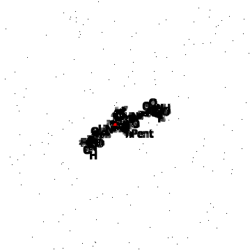 C=C(C)[C@@H]1CCC(C)=C[C@H]1c1c(OCNCCCC(=O)n2cc(F)c(=O)[nH]c2=O)cc(CCCCC)cc1OC(=O)NCCCC(=O)n1cc(F)c(=O)[nH]c1=O